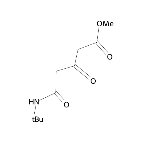 COC(=O)CC(=O)CC(=O)NC(C)(C)C